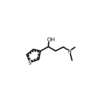 CN(C)CCC(O)c1ccsc1